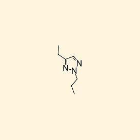 CCCn1ncc(CC)n1